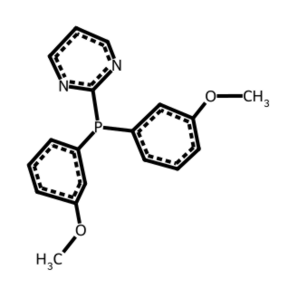 COc1cccc(P(c2cccc(OC)c2)c2ncccn2)c1